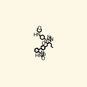 CCCc1c(Cc2ccc(-c3ccccc3-c3noc(=O)[nH]3)cc2)c(=O)n(C2CCC(NC3CCOCC3)CC2)c2ncnn12